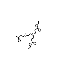 CCOC(=O)CCN(CCSCCC(C)=O)CCC(=O)OCC